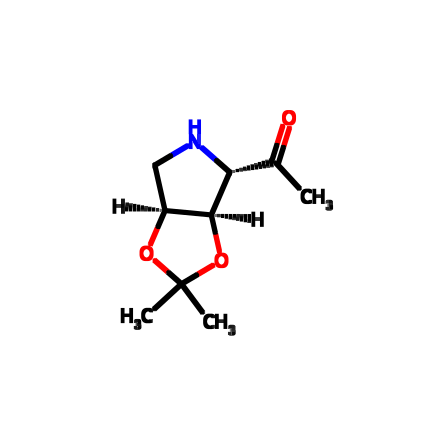 CC(=O)[C@H]1NC[C@@H]2OC(C)(C)O[C@@H]21